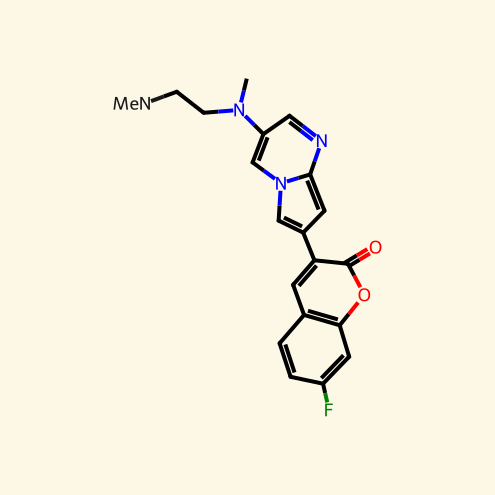 CNCCN(C)c1cnc2cc(-c3cc4ccc(F)cc4oc3=O)cn2c1